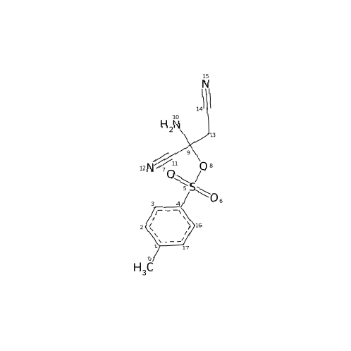 Cc1ccc(S(=O)(=O)OC(N)(C#N)CC#N)cc1